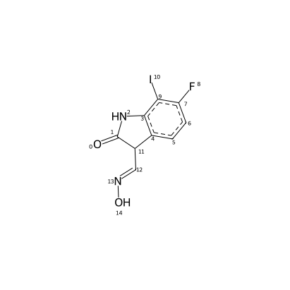 O=C1Nc2c(ccc(F)c2I)C1C=NO